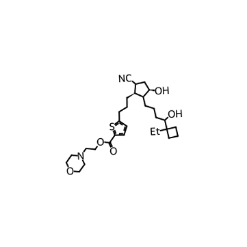 CCC1(C(O)CCCC2[C@@H](CCCc3ccc(C(=O)OCCN4CCOCC4)s3)C(C#N)C[C@H]2O)CCC1